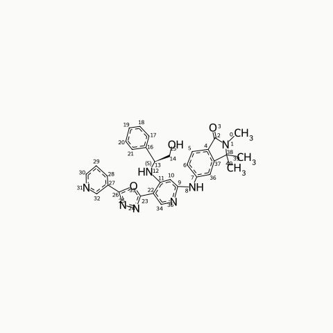 CN1C(=O)c2ccc(Nc3cc(N[C@H](CO)c4ccccc4)c(-c4nnc(-c5cccnc5)o4)cn3)cc2C1(C)C